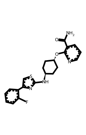 NC(=O)c1cccnc1O[C@H]1CC[C@H](Nc2nc(-c3ccccc3F)cs2)CC1